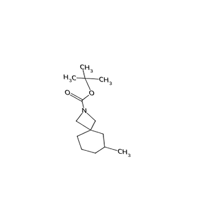 CC1CCCC2(C1)CN(C(=O)OC(C)(C)C)C2